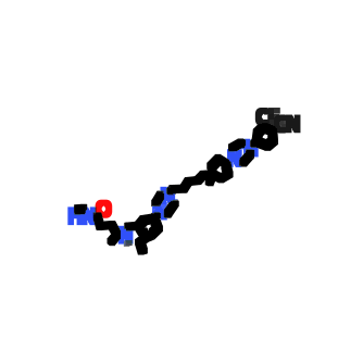 C=CNC(=O)CCC(C)N(C)Cc1cc(N2CCN(CCCCCC3(C)C=CC(N4CCN(c5ccc(C#N)c(C(F)(F)F)c5)CC4)=CC3)CC2)ccc1C=C